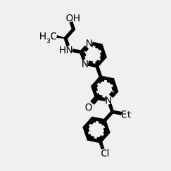 CCC(c1cccc(Cl)c1)n1ccc(-c2ccnc(N[C@@H](C)CO)n2)cc1=O